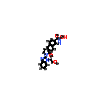 COCCn1c(N2CC[C@]3(CCc4cc(C(=O)NO)ccc4C3)C2=O)nc2ccccc21